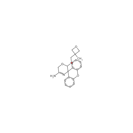 CC1(COC2OCC(N)=NC23c2ccccc2Oc2ccccc23)COC1